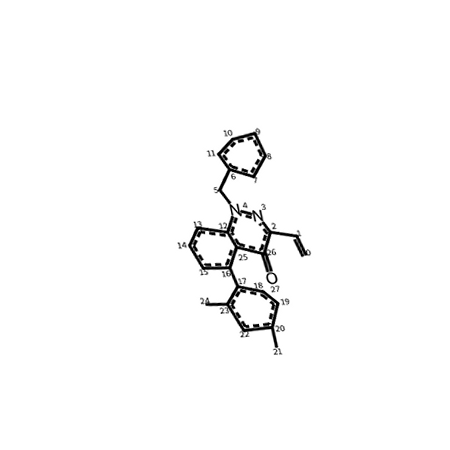 C=Cc1nn(Cc2ccccc2)c2cccc(-c3ccc(C)cc3C)c2c1=O